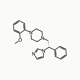 COc1ccccc1N1CCN(C[C@H](c2ccccc2)n2ccnc2)CC1